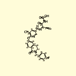 N#CC(=NNc1cnc(Oc2ccc3c(c2)CCN(Cc2ccc(F)cc2)C3=O)c(Cl)c1)C(=O)NC(=O)O